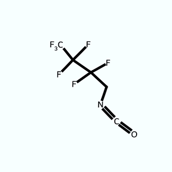 O=C=NCC(F)(F)C(F)(F)C(F)(F)F